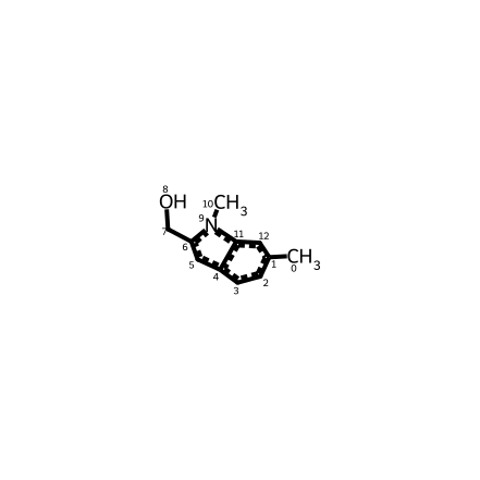 Cc1ccc2cc(CO)n(C)c2c1